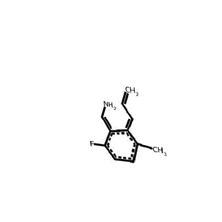 C=C/C=c1/c(C)ccc(F)/c1=C/N